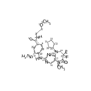 COCCNC(=O)c1ccc(Nc2ncc3c(n2)N(C2CCCC2)CC(F)(F)C(=O)N3C)c(OC)c1